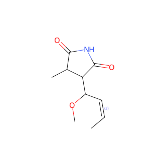 C/C=C\C(OC)C1C(=O)NC(=O)C1C